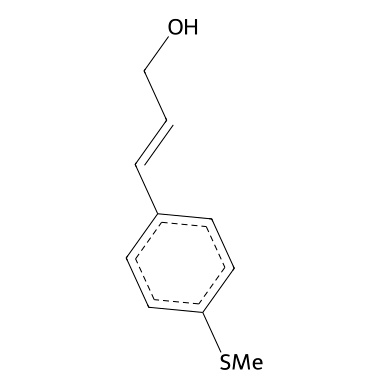 CSc1ccc(C=CCO)cc1